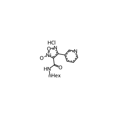 CCCCCCNC(=O)c1c(-c2cccnc2)no[n+]1[O-].Cl